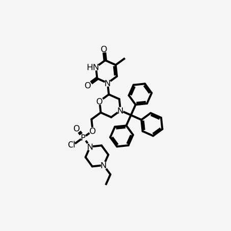 CCN1CCN(P(=O)(Cl)OCC2CN(C(c3ccccc3)(c3ccccc3)c3ccccc3)CC(n3cc(C)c(=O)[nH]c3=O)O2)CC1